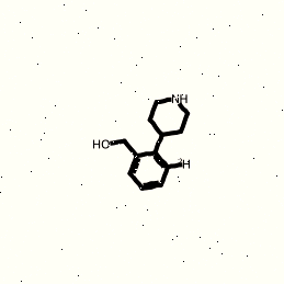 [2H]c1cccc(CO)c1C1CCNCC1